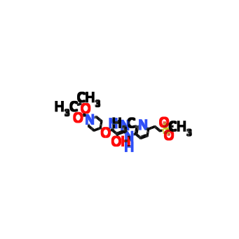 Cc1nc(CCS(C)(=O)=O)ccc1Nc1ncnc(OC2CCN(C(=O)OC(C)C)CC2)c1O